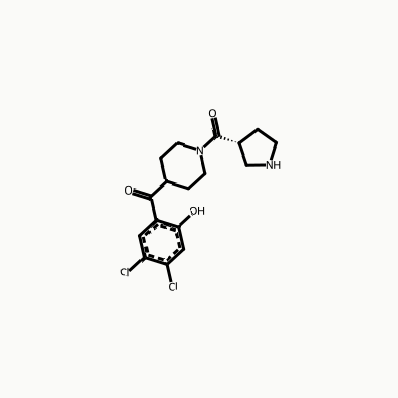 O=C(c1cc(Cl)c(Cl)cc1O)C1CCN(C(=O)[C@@H]2CCNC2)CC1